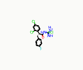 Cl.N=C(N)NC(=O)[C@H](Cc1ccc(F)cc1)c1ccc(Cl)cc1Cl